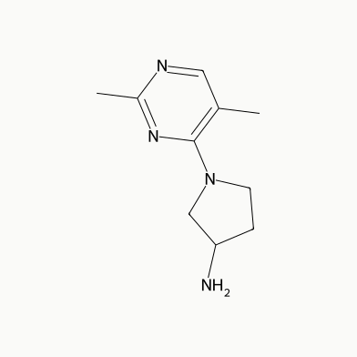 Cc1ncc(C)c(N2CCC(N)C2)n1